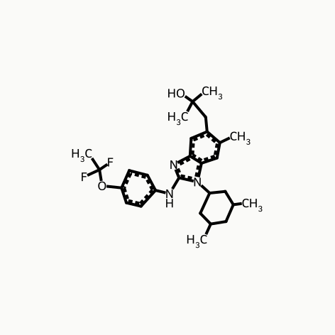 Cc1cc2c(cc1CC(C)(C)O)nc(Nc1ccc(OC(C)(F)F)cc1)n2C1CC(C)CC(C)C1